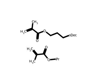 C=C(C)C(=O)OC(C)C.C=C(C)C(=O)OCCCCCCCCCCCCC